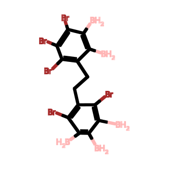 Bc1c(B)c(Br)c(CCc2c(B)c(B)c(Br)c(Br)c2Br)c(Br)c1B